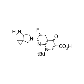 CC(C)(C)n1cc(C(=O)O)c(=O)c2cc(F)c(N3CC(N)C4(CC4)C3)nc21